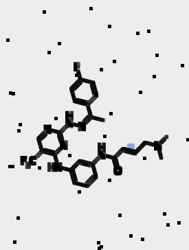 CC(=NNc1ncc(C(F)(F)F)c(Nc2cccc(NC(=O)/C=C/CN(C)C)c2)n1)c1ccc(F)cc1